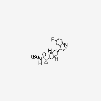 CC(C)(C)NC(=O)C1(C2=C[C@H]3C[C@@H](c4ccnc5ccc(F)cc45)C[C@H]3C2)CC1